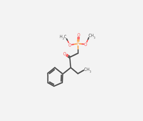 CCC(C(=O)CP(=O)(OC)OC)c1ccccc1